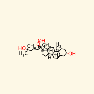 CC(C)(O)CCC[C@@](C)(OO)[C@H]1CC[C@H]2[C@@H]3CC=C4CC(O)CC[C@]4(C)[C@H]3CC[C@@]21C